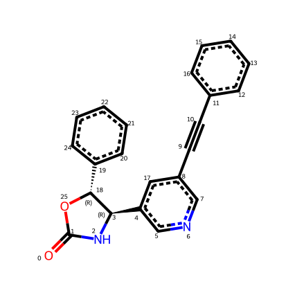 O=C1N[C@H](c2cncc(C#Cc3ccccc3)c2)[C@@H](c2ccccc2)O1